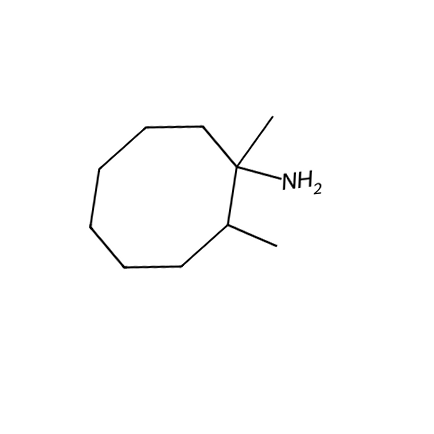 CC1CCCCCCC1(C)N